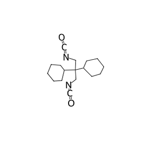 O=C=NCC(CN=C=O)(C1CCCCC1)C1CCCCC1